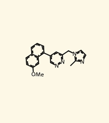 COc1ccc2cccc(-c3cnnc(Cn4ccnc4C)c3)c2c1